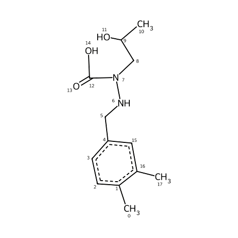 Cc1ccc(CNN(CC(C)O)C(=O)O)cc1C